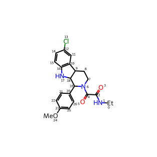 CCNC(=O)C(=O)N1CCC2c3cc(Cl)ccc3NC2C1c1ccc(OC)cc1